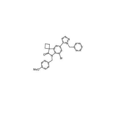 COc1ccc(CN2C(=O)C3(CCC3)c3cc(-c4ccnn4Cc4ccccc4)cc(Br)c32)cc1